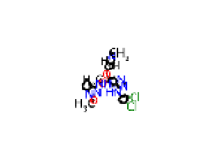 COc1cc2c(Nc3ccc(Cl)c(Cl)c3)ncnc2cc1OC1C[C@@H]2CN(C)C[C@@H]2C1.COc1nc(N)c2ccccc2n1